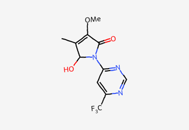 COC1=C(C)C(O)N(c2cc(C(F)(F)F)ncn2)C1=O